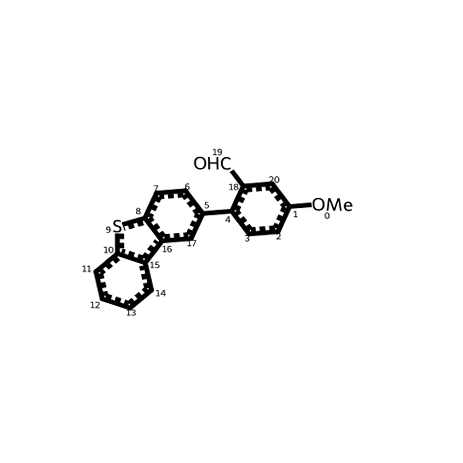 COc1ccc(-c2ccc3sc4ccccc4c3c2)c(C=O)c1